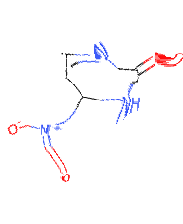 O=C1N=[C]C([N+](=O)[O-])N1